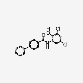 O=C(Nc1cc(Cl)cc(Cl)c1O)c1ccc(-c2ccccc2)cc1